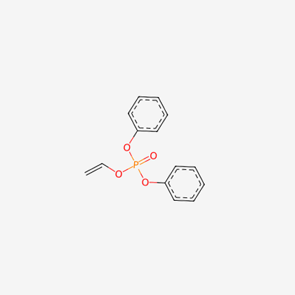 C=COP(=O)(Oc1ccccc1)Oc1ccccc1